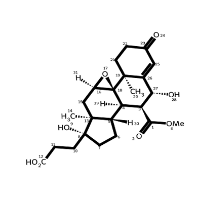 COC(=O)[C@H]1[C@H]2[C@@H]3CC[C@@](O)(CCC(=O)O)[C@@]3(C)C[C@H]3O[C@@]23[C@@]2(C)CCC(=O)C=C2[C@@H]1O